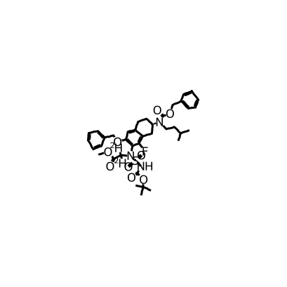 [2H]C([2H])(C(=O)OC)N(c1c(OCc2ccccc2)cc2c(c1F)C[C@H](N(CCC(C)C)C(=O)OCc1ccccc1)CC2)S(=O)(=O)NC(=O)OC(C)(C)C